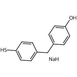 Oc1ccc(Cc2ccc(S)cc2)cc1.[NaH]